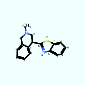 CN1Cc2ccccc2C(c2nc3ccccc3s2)C1